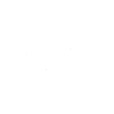 NC(=O)C(CCCBr)c1ccnc2cc(C(F)(F)F)ccc12